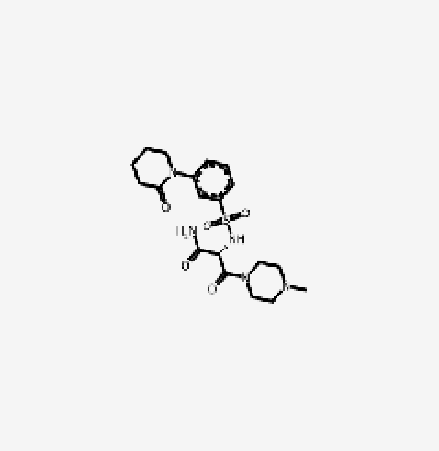 CN1CCN(C(=O)[C@@H](NS(=O)(=O)c2cccc(N3CCCCC3=O)c2)C(N)=O)CC1